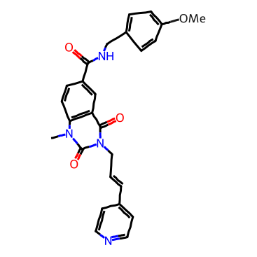 COc1ccc(CNC(=O)c2ccc3c(c2)c(=O)n(CC=Cc2ccncc2)c(=O)n3C)cc1